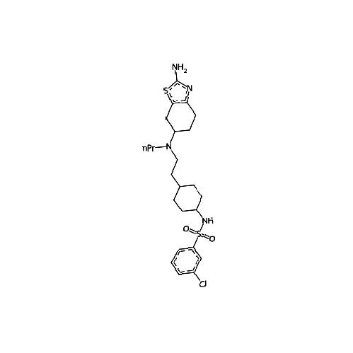 CCCN(CCC1CCC(NS(=O)(=O)c2cccc(Cl)c2)CC1)C1CCc2nc(N)sc2C1